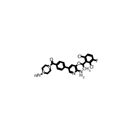 CCCN1CCN(C(=O)c2ccc(-c3cnc(N)c(OC(C)c4c(Cl)ccc(F)c4Cl)c3)cc2)CC1